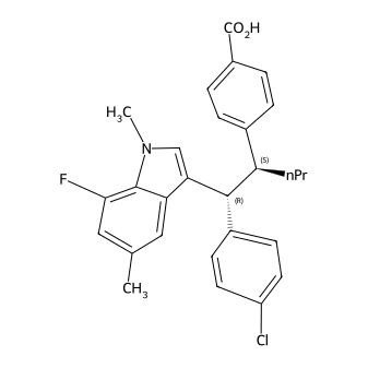 CCC[C@H](c1ccc(C(=O)O)cc1)[C@H](c1ccc(Cl)cc1)c1cn(C)c2c(F)cc(C)cc12